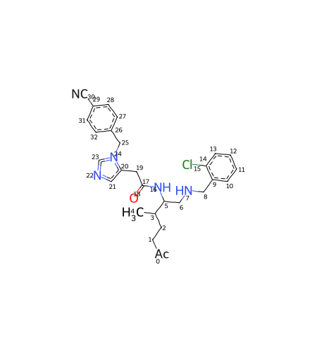 CC(=O)CCC(C)C(CNCc1ccccc1Cl)NC(=O)Cc1cncn1Cc1ccc(C#N)cc1